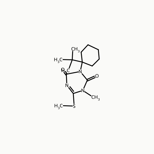 CSc1nc(=O)n(C2(C(C)(C)C)CCCCC2)c(=O)n1C